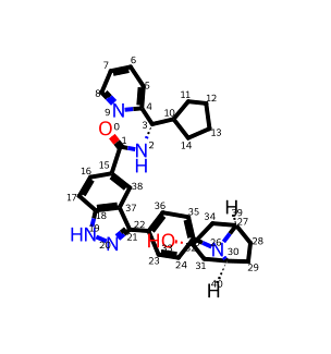 O=C(N[C@H](c1ccccn1)C1CCCC1)c1ccc2[nH]nc(-c3ccc(N4[C@@H]5CC[C@H]4C[C@H](O)C5)cc3)c2c1